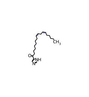 CCCCC/C=C\C/C=C\CCCCCCCC(=O)c1cnc[nH]1